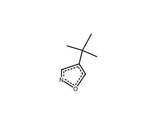 CC(C)(C)c1cnoc1